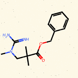 CN(CC(C)(C)C(=O)OCc1ccccc1)C(=N)N